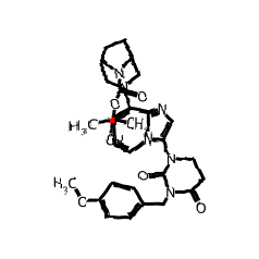 COc1ccc(CN2C(=O)CCN(c3cnc4c(N5CC6CCC(C5)N6C(=O)OC(C)(C)C)cccn34)C2=O)cc1